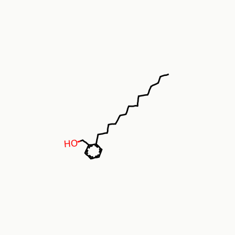 CCCCCCCCCCCCCCc1ccccc1CO